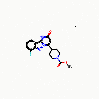 CC(C)(C)OC(=O)N1CCC(c2cc(=O)[nH]c3c4cccc(F)c4nn23)CC1